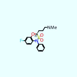 CNCCC[C@@H]1Oc2cc(F)ccc2N(c2ccccc2)S1(=O)=O